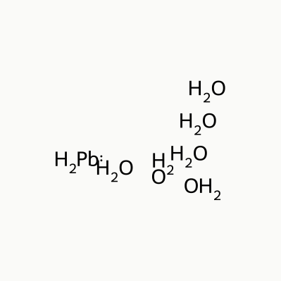 O.O.O.O.O.O.[PbH2]